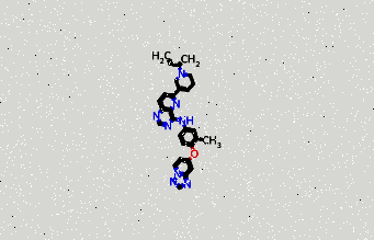 C=CC(=C)N1CCC=C(c2ccc3ncnc(Nc4ccc(Oc5ccn6ncnc6c5)c(C)c4)c3n2)C1